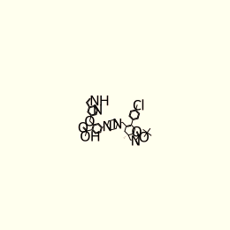 CN(C[C@]1(C)CCC(c2ccc(Cl)cc2)=C(CN2CCN(c3ccc(C(=O)O)c(Oc4cnc5[nH]ccc5c4)c3)CC2)C1)C(=O)OC(C)(C)C